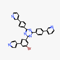 Brc1cc(-c2ccncc2)cc(-c2nc(-c3ccc(-c4cccnc4)cc3)nc(-c3ccc(-c4cccnc4)cc3)n2)c1